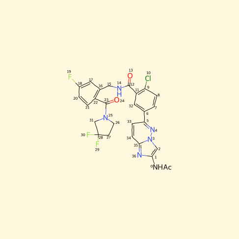 CC(=O)Nc1cn2nc(-c3ccc(Cl)c(C(=O)NCc4cc(F)ccc4C(=O)N4CCC(F)(F)C4)c3)ccc2n1